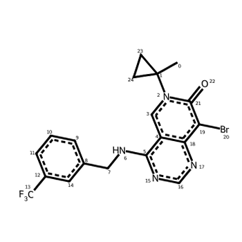 CC1(n2cc3c(NCc4cccc(C(F)(F)F)c4)ncnc3c(Br)c2=O)CC1